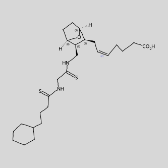 O=C(O)CCC/C=C\C[C@H]1[C@@H](CNC(=S)CNC(=S)CCCC2CCCCC2)[C@H]2CC[C@@H]1O2